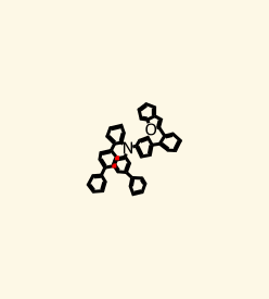 c1ccc(-c2ccc(-c3ccccc3N(c3ccc(-c4ccccc4-c4cc5ccccc5o4)cc3)c3cccc(-c4ccccc4)c3)cc2)cc1